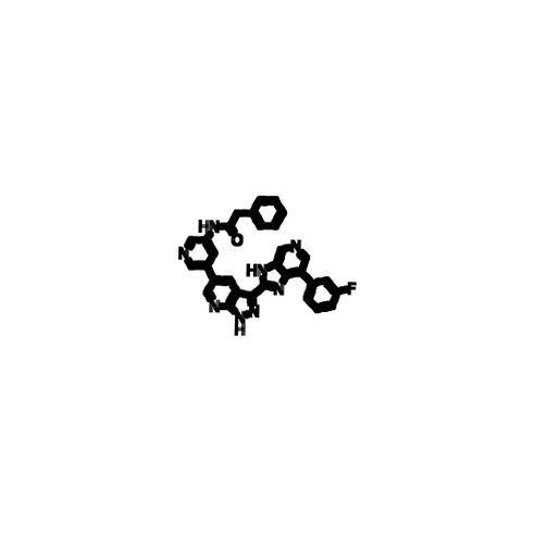 O=C(Cc1ccccc1)Nc1cncc(-c2cnc3[nH]nc(-c4nc5c(-c6cccc(F)c6)cncc5[nH]4)c3c2)c1